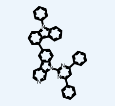 c1ccc(-c2cc(-c3ccccc3)nc(-n3c4ccc(-c5cccc6c5c5ccccc5n6-c5ccccc5)cc4c4ccncc43)n2)cc1